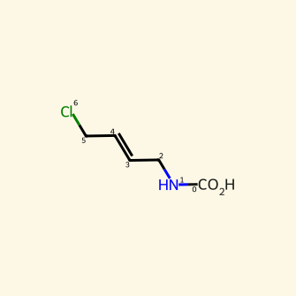 O=C(O)NC/C=C/CCl